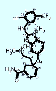 CN(C)CCC1(Oc2ccc3c(c2)nc(Nc2cc(C(F)(F)F)ccc2F)n3C)C=CN=C(C(N)=O)C1